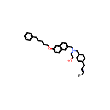 CC(C)/C=C/CC1=CCC(CN(CCO)Cc2ccc3cc(OCCCCCc4ccccc4)ccc3c2)CC1